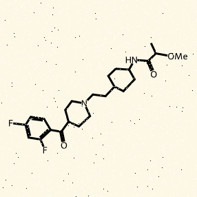 COC(C)C(=O)NC1CCC(CCN2CCC(C(=O)c3ccc(F)cc3F)CC2)CC1